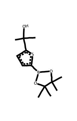 CC(C)(O)c1ccc(B2OC(C)(C)C(C)(C)O2)s1